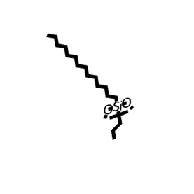 CCCCCCCCCCCCCC[Si](OC)(OC)C(C)(C)CCC